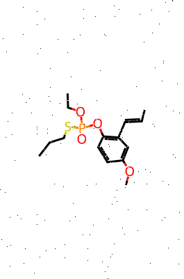 CC=Cc1cc(OC)ccc1OP(=O)(OCC)SCCC